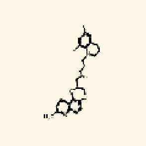 Cc1ccc2c3c(ccc2n1)OC[C@H](CNCCCN1CCCc2cc(F)cc(F)c21)O3